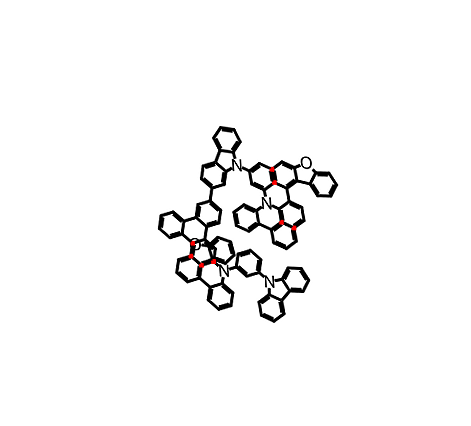 c1ccc(-c2ccccc2N(c2cccc(-n3c4ccccc4c4ccc(-c5ccc6c(c5)c5ccccc5c5ccc(N(c7cccc(-n8c9ccccc9c9ccccc98)c7)c7ccccc7-c7cccc8oc9ccccc9c78)cc56)cc43)c2)c2ccccc2-c2cccc3oc4ccccc4c23)cc1